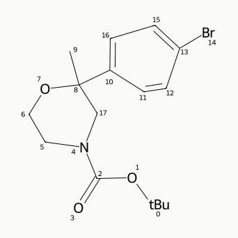 CC(C)(C)OC(=O)N1CCOC(C)(c2ccc(Br)cc2)C1